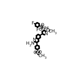 CCS(=O)(=O)c1ccc(-c2cc3cc(-c4cnc(OC)c(NS(=O)(=O)c5ccc(F)cc5F)c4)ccc3nc2N)cc1